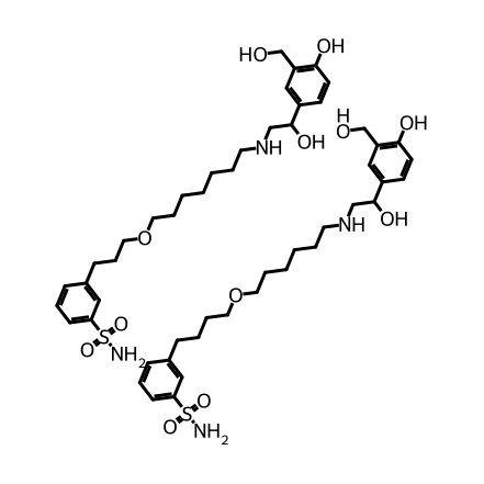 NS(=O)(=O)c1cccc(CCCCOCCCCCCNCC(O)c2ccc(O)c(CO)c2)c1.NS(=O)(=O)c1cccc(CCCOCCCCCCCNCC(O)c2ccc(O)c(CO)c2)c1